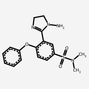 CN(C)S(=O)(=O)c1ccc(Oc2ccccc2)c(C2=NCCN2N)c1